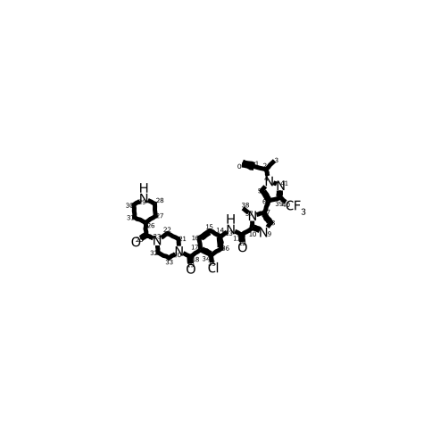 C#CC(C)n1cc(-c2cnc(C(=O)Nc3ccc(C(=O)N4CCN(C(=O)C5CCNCC5)CC4)c(Cl)c3)n2C)c(C(F)(F)F)n1